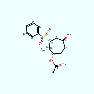 CC(=O)O[C@H]1CCC(=O)C[C@@H](S(=O)(=O)c2ccccc2)[C@H]1C